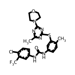 Cc1nc(Sc2cc(NC(=O)Nc3ccc(Cl)c(C(F)(F)F)c3)ccc2C)nc(N2CCOCC2)n1